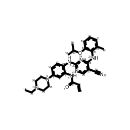 C=CC(=O)Nc1cc(N2CCN(CC)CC2)ccc1Nc1ncc(C#N)c(Nc2c(C)cccc2OC(C)C)n1